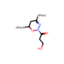 CCCCCC1=NN(C(=O)CCO)OC(CCCCC)C1